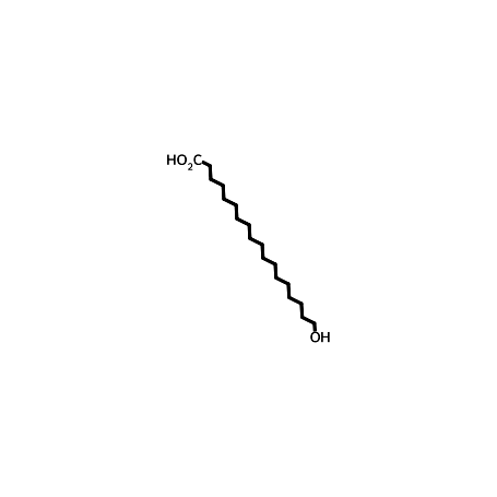 O=C(O)CCCCCCCCCCCCCCCCCO